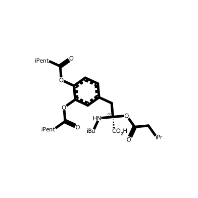 CCCC(C)C(=O)Oc1ccc(C[C@](NC(C)CC)(OC(=O)CC(C)C)C(=O)O)cc1OC(=O)C(C)CCC